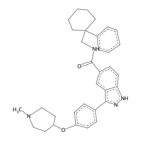 CN1CCC(Oc2ccc(-c3n[nH]c4ccc(C(=O)NCC5(c6ccccc6)CCCCC5)cc34)cc2)CC1